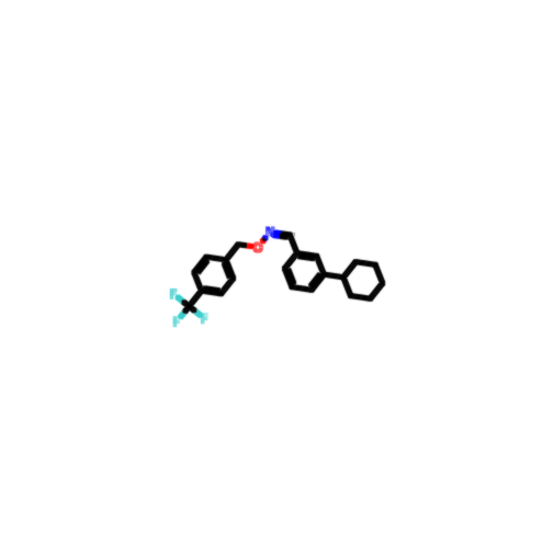 FC(F)(F)c1ccc(CO/N=[C]\c2cccc(C3CCCCC3)c2)cc1